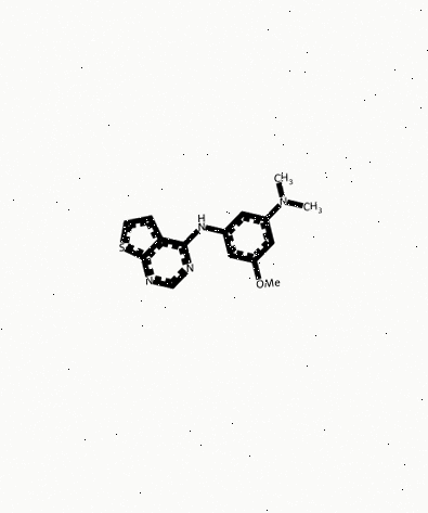 COc1cc(Nc2ncnc3sccc23)cc(N(C)C)c1